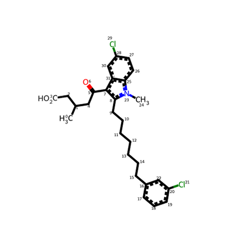 CC(CC(=O)O)CC(=O)c1c(CCCCCCCc2cccc(Cl)c2)n(C)c2ccc(Cl)cc12